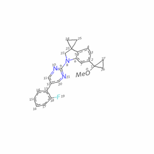 COC1(c2ccc3c(c2)N(c2ncc(-c4ccccc4F)cn2)CC32CC2)CC1